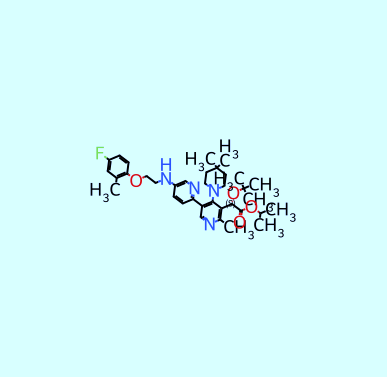 Cc1cc(F)ccc1OCCNc1ccc(-c2cnc(C)c([C@H](OC(C)(C)C)C(=O)OC(C)C)c2N2CCC(C)(C)CC2)nc1